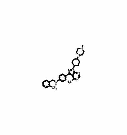 CN1CCN(C2CCC(n3nc(-c4ccc(NCc5ccccc5C(F)(F)F)cc4)c4c(N)ncnc43)CC2)CC1